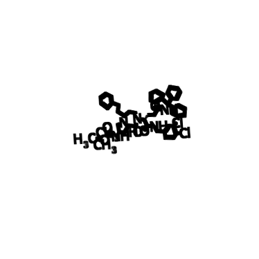 CC(C)(C)OC(=O)N[C@@H]1C[C@H]2C(=O)N([C@H](CCC(=O)NC(c3ccccc3)(c3ccccc3)c3ccccc3)C(=O)NCc3ccc(Cl)c(Cl)c3)CCC(CCc3ccccc3)N2C1